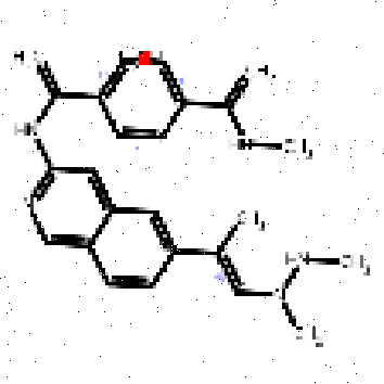 C=C(NC)C(/C=C\C(=C/C)C(=C)Nc1cc2cc(/C(C)=C/N(C)NC)ccc2cn1)=C/C